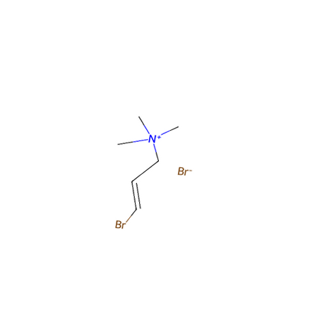 C[N+](C)(C)CC=CBr.[Br-]